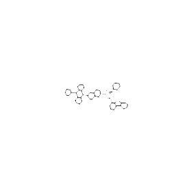 c1ccc(-c2nc(-c3ccc4cc(-c5c6ccccc6c(-c6ccccc6)c6ccccc56)ccc4c3)nc(-c3cccc4c3sc3ccccc34)n2)cc1